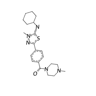 CN1CCN(C(=O)c2ccc(-c3nn(C)/c(=N\C4CCCCC4)s3)cc2)CC1